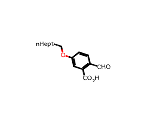 CCCCCCCCOc1ccc(C=O)c(C(=O)O)c1